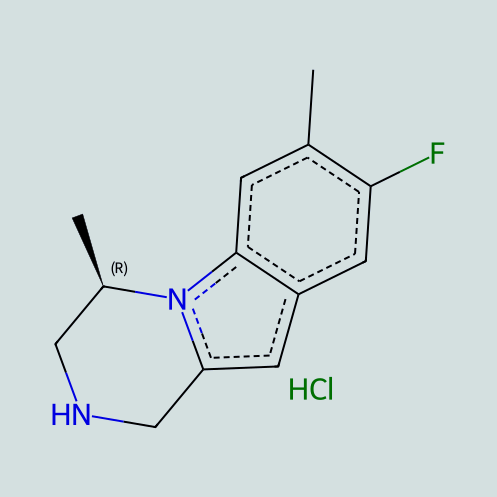 Cc1cc2c(cc1F)cc1n2[C@H](C)CNC1.Cl